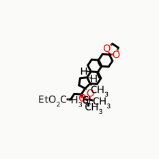 CCOC(=O)CCC(=O)[C@@]1(O[Si](C)(C)C)CC[C@H]2[C@@H]3CCC4=C(CCC5(C4)OCCO5)C3=CC[C@@]21C